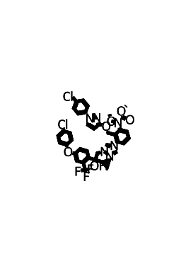 COC(=O)N(OC)c1ccccc1COc1ccn(-c2ccc(Cl)cc2)n1.OC(Cn1cncn1)(c1ccc(Oc2ccc(Cl)cc2)cc1C(F)(F)F)C1CC1